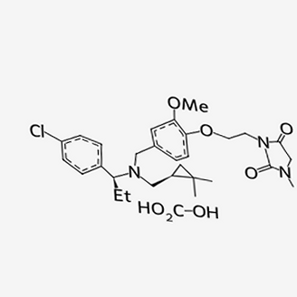 CC[C@@H](c1ccc(Cl)cc1)N(Cc1ccc(OCCN2C(=O)CN(C)C2=O)c(OC)c1)C[C@H]1CC1(C)C.O=C(O)O